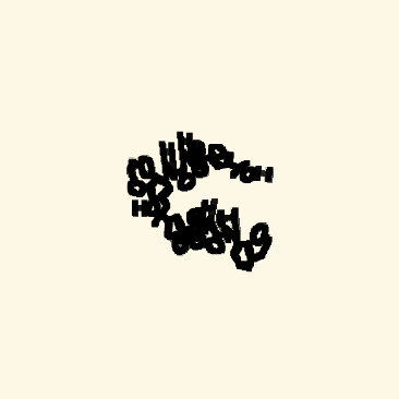 CC(C)(O)c1coc(S(=O)(=O)NC(=O)Nc2cc(CC(C)(O)c3coc(S(=O)(=O)NC(=O)Nc4cccc5c4OCC5)c3)cc3c2OCCO3)c1